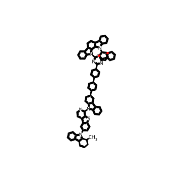 CC1CC=Cc2c1n(-c1ccc3sc4c(-n5c6ccccc6c6cc(-c7ccc(-c8ccc(-c9nc(-c%10ccccc%10)nc(-n%10c%11ccccc%11c%11ccc%12c%13ccccc%13n(-c%13ccccc%13)c%12c%11%10)n9)cc8)cc7)ccc65)nccc4c3c1)c1ccccc21